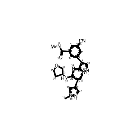 CNC(=O)c1cc(C#N)cc(-c2cnn3cc(-c4cnn(C)c4)c(N[C@H]4CCOC4)nc23)c1